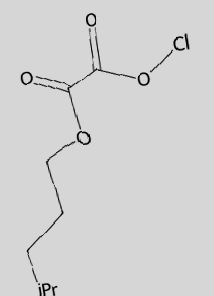 CC(C)CCCOC(=O)C(=O)OCl